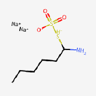 CCCCCC(N)[SH-]S(=O)(=O)[O-].[Na+].[Na+]